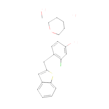 OC[C@@H]1C[C@H](O)C[C@H](c2cc(Cc3cc4ccccc4s3)c(Cl)cc2O)O1